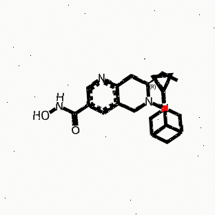 CC[C@@H]1Cc2ncc(C(=O)NO)cc2CN1CC1C2CC1CN(C1CC1)C2